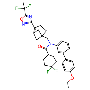 CCOc1ccc(-c2cccc(N(CC34CCC(c5noc(C(C)(F)F)n5)=C(C3)C4)C(=O)C3CCC(F)(F)CC3)c2)cc1